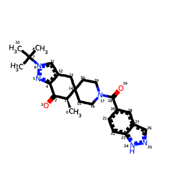 C[C@H]1C(=O)c2nn(C(C)(C)C)cc2CC12CCN(C(=O)c1ccc3[nH]ncc3c1)CC2